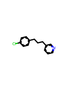 Clc1ccc(CCCc2cccnc2)cc1